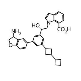 N[C@@H]1COc2ccc(-c3cc(C4CC(C5CCC5)C4)cc([C@H](O)Cn4ccc5cccc(C(=O)O)c54)c3)cc21